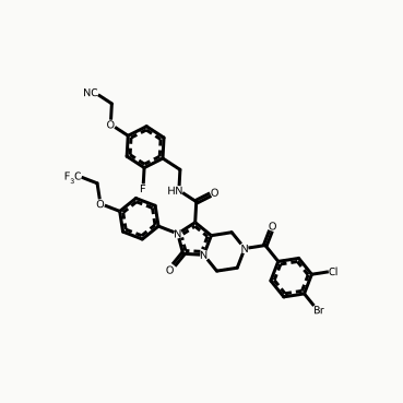 N#CCOc1ccc(CNC(=O)c2c3n(c(=O)n2-c2ccc(OCC(F)(F)F)cc2)CCN(C(=O)c2ccc(Br)c(Cl)c2)C3)c(F)c1